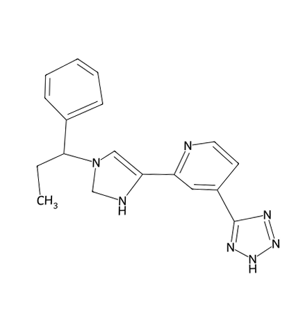 CCC(c1ccccc1)N1C=C(c2cc(-c3nn[nH]n3)ccn2)NC1